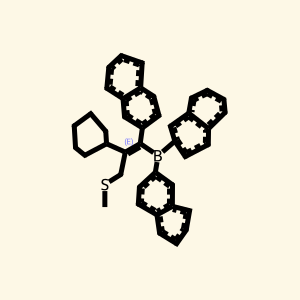 CSC/C(=C(\B(c1ccc2ccccc2c1)c1ccc2ccccc2c1)c1ccc2ccccc2c1)C1CCCCC1